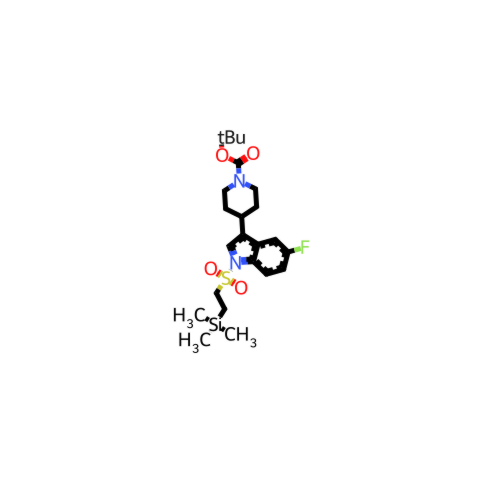 CC(C)(C)OC(=O)N1CCC(c2cn(S(=O)(=O)CC[Si](C)(C)C)c3ccc(F)cc23)CC1